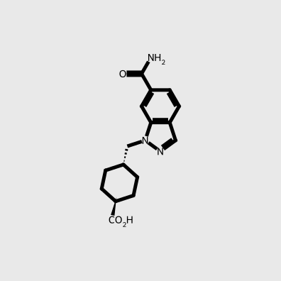 NC(=O)c1ccc2cnn(C[C@H]3CC[C@H](C(=O)O)CC3)c2c1